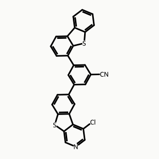 N#Cc1cc(-c2ccc3sc4cncc(Cl)c4c3c2)cc(-c2cccc3c2sc2ccccc23)c1